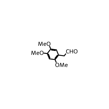 COc1cc(OC)c(OC)cc1CC=O